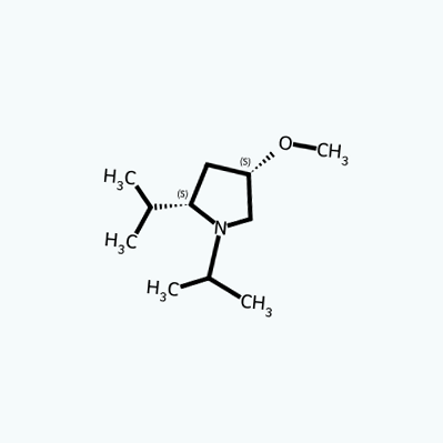 CO[C@H]1C[C@@H](C(C)C)N(C(C)C)C1